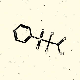 O=C(O)C(Cl)(Cl)S(=O)(=O)c1ccccc1